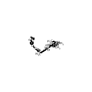 CC(=O)N[C@H]1C(C(O)[C@H](O)CNC(=O)CCCCCCC(C)n2cc(COCCOc3ccc(C(=O)N4CCC4=O)cc3)nn2)OC(C)=C[C@@H]1NC(=N)N